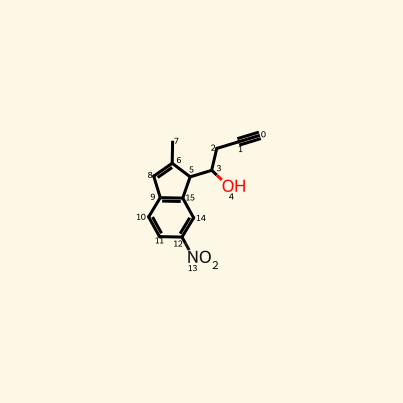 C#CCC(O)C1C(C)=Cc2ccc([N+](=O)[O-])cc21